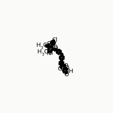 Cc1sc2c(c1C)C(c1ccc(Cl)cc1)=N[C@@H](CC(=O)N1CCC(CN3CCN(c4ccc5c(c4)C(=O)N(C4CCC(=O)NC4=O)C5=O)CC3)CC1)c1nnc(C)n1-2